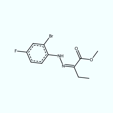 CCC(=NNc1ccc(F)cc1Br)C(=O)OC